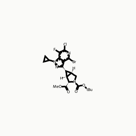 COC(=O)[C@@H]1[C@@H]2[C@H](CN1C(=O)OC(C)(C)C)[C@H]2c1nn(C2CC2)c2c(F)c(Cl)nc(Br)c12